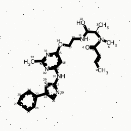 CC=CC(=O)N(C)[C@@H](C)C(O)NCCOc1cc(Nc2ncc(-c3ccccc3)s2)nc(C)n1